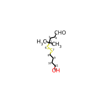 CC(C)(CCC=O)SSCCCCO